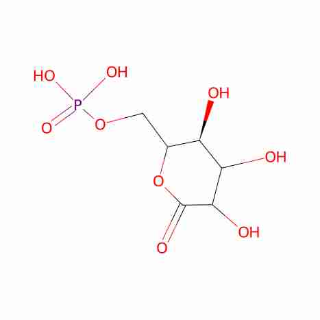 O=C1OC(COP(=O)(O)O)[C@@H](O)C(O)C1O